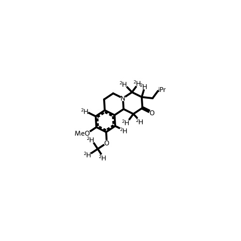 [2H]c1c2c(c([2H])c(OC([2H])([2H])[2H])c1OC)C1N(CC2)C([2H])([2H])C([2H])(CC(C)C)C(=O)C1([2H])[2H]